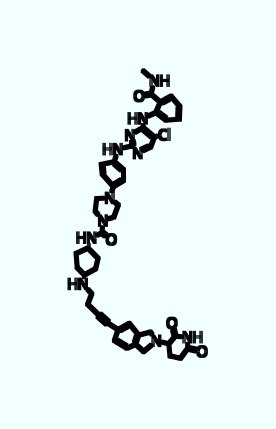 CNC(=O)c1ccccc1Nc1nc(Nc2ccc(N3CCN(C(=O)N[C@H]4CC[C@H](NCCC#Cc5ccc6c(c5)CN(C5CCC(=O)NC5=O)C6)CC4)CC3)cc2)ncc1Cl